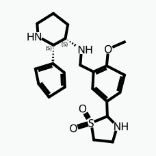 COc1ccc(C2NCCS2(=O)=O)cc1CN[C@H]1CCCN[C@H]1c1ccccc1